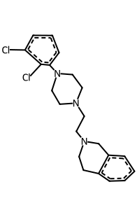 Clc1cccc(N2CCN(CCN3CCc4ccccc4C3)CC2)c1Cl